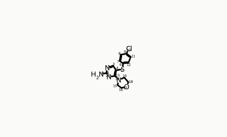 Nc1ncc(Sc2ccc(Cl)cc2)c(N2CCOCC2)n1